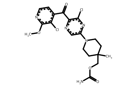 COc1nccc(C(=O)c2ncc(N3CCC(C)(COC(N)=O)CC3)nc2Cl)c1Cl